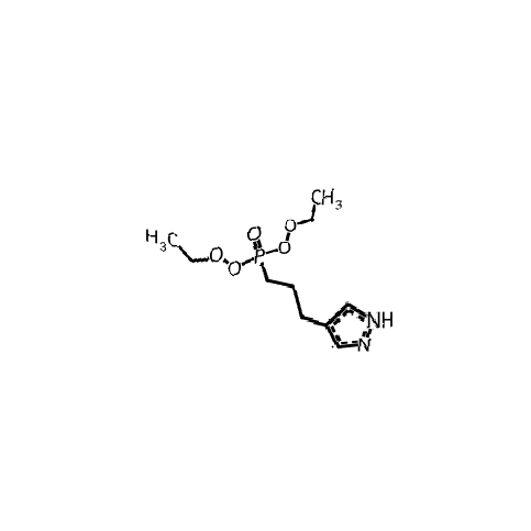 CCOOP(=O)(CCCc1[c]n[nH]c1)OOCC